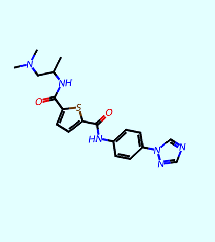 CC(CN(C)C)NC(=O)c1ccc(C(=O)Nc2ccc(-n3cncn3)cc2)s1